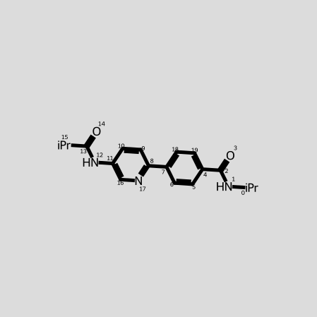 CC(C)NC(=O)c1ccc(-c2ccc(NC(=O)C(C)C)cn2)cc1